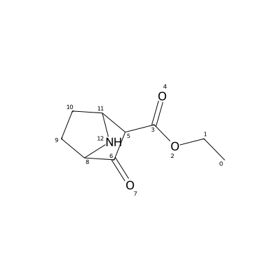 CCOC(=O)C1C(=O)C2CCC1N2